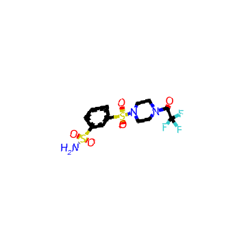 NS(=O)(=O)c1cccc(S(=O)(=O)N2CCN(C(=O)C(F)(F)F)CC2)c1